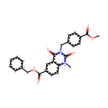 COC(=O)c1ccc(Cn2c(=O)c3cc(C(=O)OCc4ccccc4)ccc3n(C)c2=O)cc1